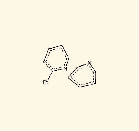 CCc1ccccn1.c1ccncc1